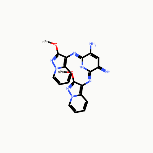 CCCOc1nn2ccccc2c1/N=C1\N/C(=N\c2c(OCCC)nn3ccccc23)C(N)=CC1=N